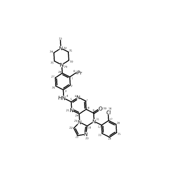 CC(C)c1cc(Nc2ncc3c(=O)n(-c4ccccc4Cl)c4nccn4c3n2)ccc1N1CCN(C)CC1